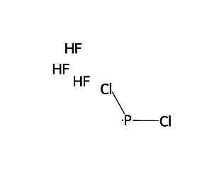 Cl[P]Cl.F.F.F